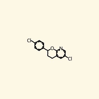 Clc1ccc(C2CCc3cc(Cl)cnc3O2)cc1